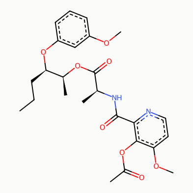 CCC[C@@H](Oc1cccc(OC)c1)[C@H](C)OC(=O)[C@H](C)NC(=O)c1nccc(OC)c1OC(C)=O